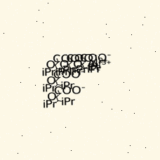 CC(C)C(C(=O)CC(=O)[O-])C(C)C.CC(C)C(C(=O)CC(=O)[O-])C(C)C.CC(C)C(C(=O)CC(=O)[O-])C(C)C.CC(C)C(C(=O)CC(=O)[O-])C(C)C.CC(C)C(C(=O)CC(=O)[O-])C(C)C.C[CH2][Al+2].[Al+3]